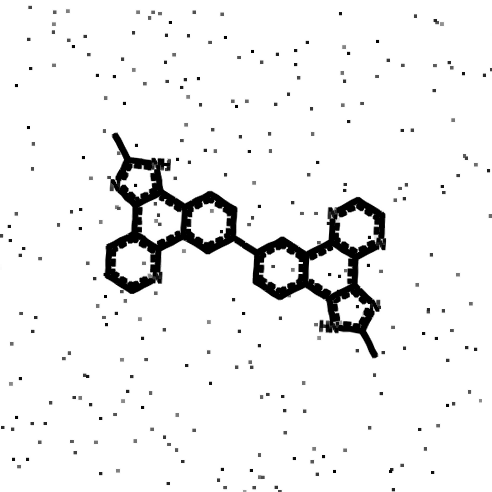 Cc1nc2c3cccnc3c3cc(-c4ccc5c(c4)c4nccnc4c4nc(C)[nH]c54)ccc3c2[nH]1